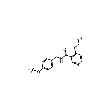 COc1ccc(CNC(=O)c2cnccc2CCO)cc1